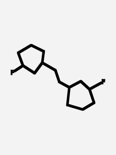 FC1CCCC(CCC2CCCC(F)C2)C1